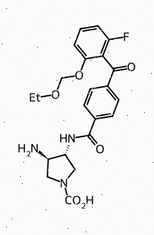 CCOCOc1cccc(F)c1C(=O)c1ccc(C(=O)N[C@@H]2CN(C(=O)O)C[C@H]2N)cc1